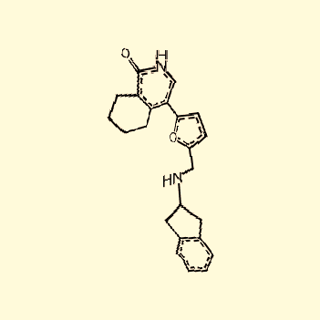 O=c1[nH]cc(-c2ccc(CNC3Cc4ccccc4C3)o2)c2c1CCCC2